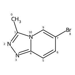 Cc1nnc2ccc(Br)cn12